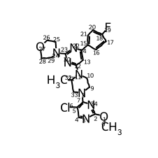 COc1ncc(Cl)c(N2CCN(c3cc(-c4ccc(F)cc4)nc(N4CCOCC4)n3)[C@H](C)C2)n1